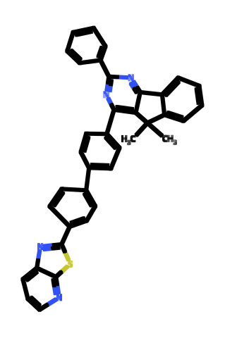 CC1(C)c2ccccc2-c2nc(-c3ccccc3)nc(-c3ccc(-c4ccc(-c5nc6cccnc6s5)cc4)cc3)c21